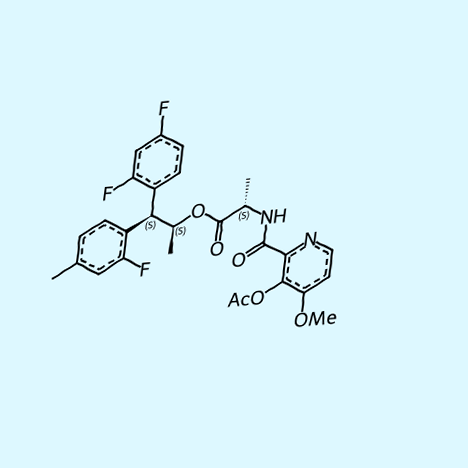 COc1ccnc(C(=O)N[C@@H](C)C(=O)O[C@@H](C)[C@@H](c2ccc(C)cc2F)c2ccc(F)cc2F)c1OC(C)=O